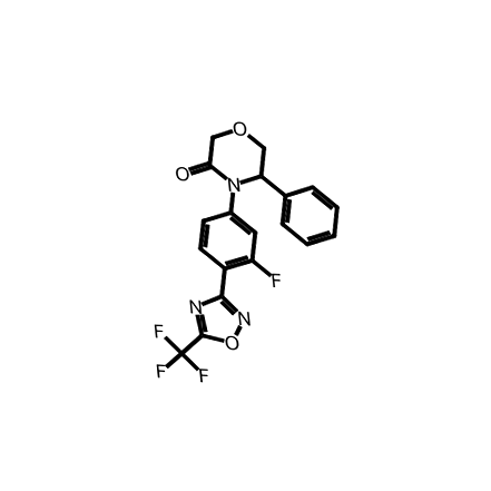 O=C1COCC(c2ccccc2)N1c1ccc(-c2noc(C(F)(F)F)n2)c(F)c1